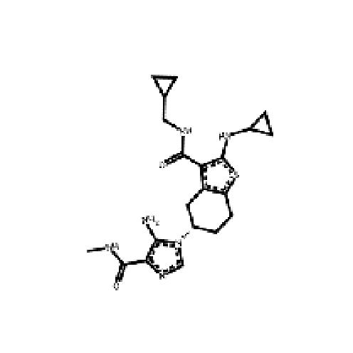 CNC(=O)c1ncn([C@H]2CCc3sc(NC4CC4)c(C(=O)NCC4CC4)c3C2)c1N